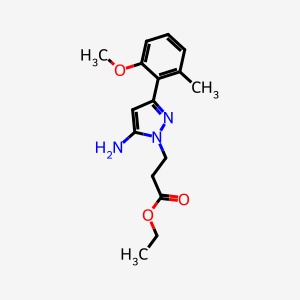 CCOC(=O)CCn1nc(-c2c(C)cccc2OC)cc1N